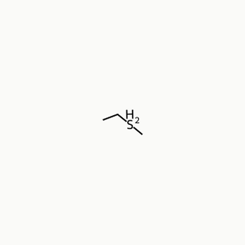 CC[SH2]C